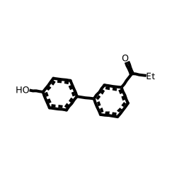 CCC(=O)c1cccc(-c2ccc(O)cc2)c1